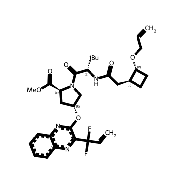 C=CCO[C@@H]1CC[C@H]1CC(=O)N[C@H](C(=O)N1C[C@H](Oc2nc3ccccc3nc2C(F)(F)C=C)C[C@H]1C(=O)OC)C(C)(C)C